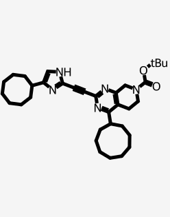 CC(C)(C)OC(=O)N1CCc2c(nc(C#Cc3nc(C4CCCCCCC4)c[nH]3)nc2C2CCCCCCCC2)C1